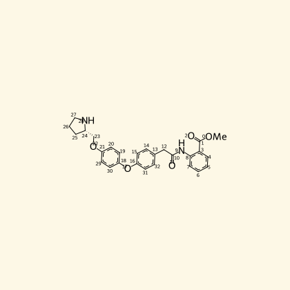 COC(=O)c1ccccc1NC(=O)Cc1ccc(Oc2ccc(OC[C@@H]3CCCN3)cc2)cc1